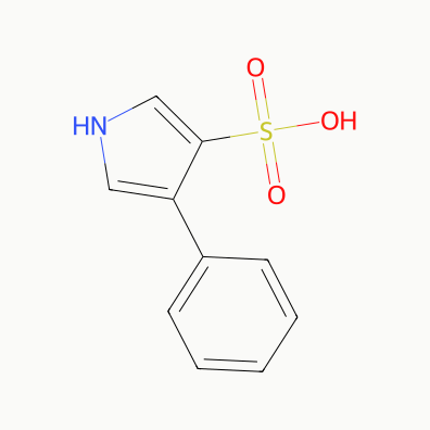 O=S(=O)(O)c1c[nH]cc1-c1ccccc1